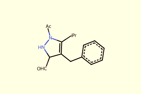 CC(=O)N1NC(C=O)C(Cc2ccccc2)=C1C(C)C